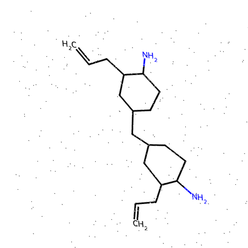 C=CCC1CC(CC2CCC(N)C(CC=C)C2)CCC1N